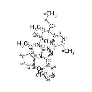 CCO[C@@H](c1cnc(C)cn1)[C@@H](C)S(=O)(=O)Nc1nnc(-c2cccnc2)n1-c1c(OC)cccc1OC